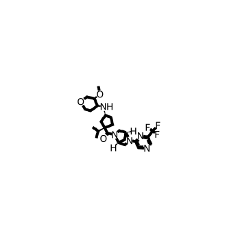 CO[C@@H]1COCC[C@@H]1N[C@@H]1CC[C@@](C(=O)N2C[C@@H]3C[C@H]2CN3c2cncc(C(F)(F)F)n2)(C(C)C)C1